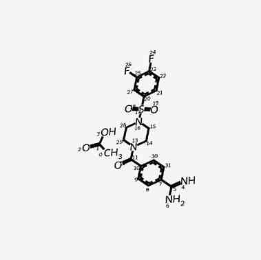 CC(=O)O.N=C(N)c1ccc(C(=O)N2CCN(S(=O)(=O)c3ccc(F)c(F)c3)CC2)cc1